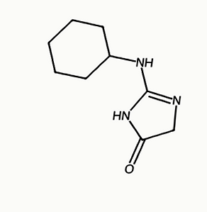 O=C1CN=C(NC2CCCCC2)N1